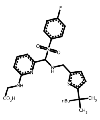 CCCCC(C)(C)c1ccc(CNC(c2cccc(NCC(=O)O)n2)S(=O)(=O)c2ccc(F)cc2)s1